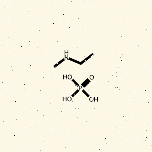 CCNC.O=P(O)(O)O